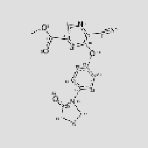 COC(=O)c1cnc(C#N)c(Oc2ccc(N3CCCC3=O)cc2)c1